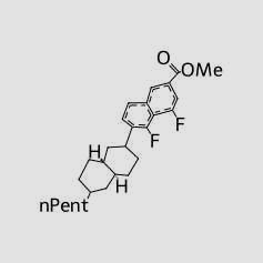 CCCCCC1CC[C@@H]2CC(c3ccc4cc(C(=O)OC)cc(F)c4c3F)CC[C@H]2C1